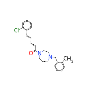 Cc1ccccc1CN1CCCN(C(=O)C=CC=Cc2ccccc2Cl)CC1